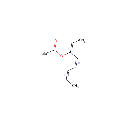 C\C=C/C=C\C(=C/C)OC(=O)C(C)(C)C